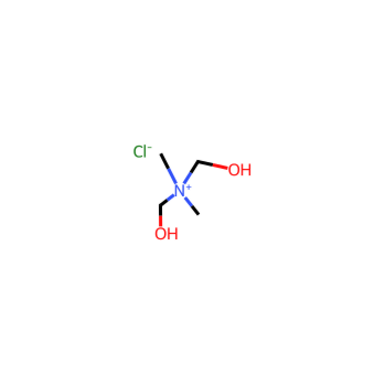 C[N+](C)(CO)CO.[Cl-]